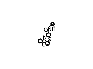 O=C(NCc1cccs1)c1ccc2c(c1)N=C(c1ccccc1Cl)c1ccccc1S2